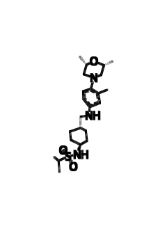 Cc1cc(NC[C@H]2CC[C@H](NS(=O)(=O)C(C)C)CC2)ccc1N1C[C@@H](C)O[C@@H](C)C1